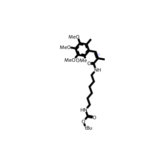 COc1c(C)c(/C=C(/C)C(=O)NCCCCCCNC(=O)OC(C)(C)C)c(OC)c(OC)c1OC